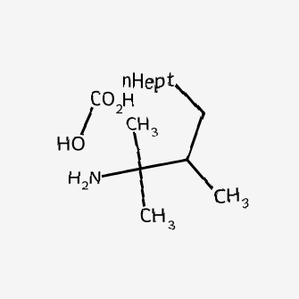 CCCCCCCCC(C)C(C)(C)N.O=C(O)O